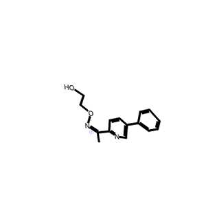 C/C(=N/OCCO)c1ccc(-c2ccccc2)cn1